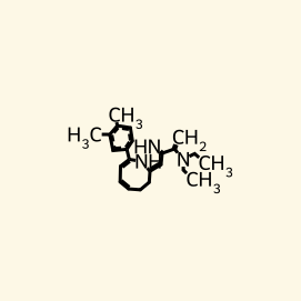 C=C(C(=N)/C=C1/CC/C=C\C=C(\c2ccc(C)c(C)c2)N1)N(CC)CC